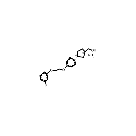 N[C@@]1(CO)CC[C@@H](c2ccc(OCCOc3cccc(F)c3)cc2)C1